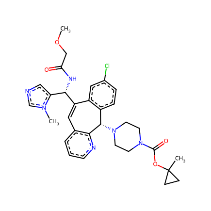 COCC(=O)N[C@H](C1=Cc2cccnc2[C@@H](N2CCN(C(=O)OC3(C)CC3)CC2)c2ccc(Cl)cc21)c1cncn1C